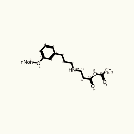 CCCCCCCCCOc1cccc(CCCNCCC(=O)OC(=O)C(F)(F)F)c1